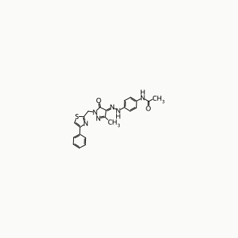 CC(=O)Nc1ccc(N/N=C2/C(=O)N(Cc3nc(-c4ccccc4)cs3)N=C2C)cc1